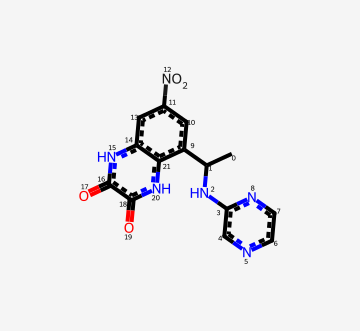 CC(Nc1cnccn1)c1cc([N+](=O)[O-])cc2[nH]c(=O)c(=O)[nH]c12